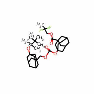 CC(F)(F)COC(=O)C12CC3CC(CC(OC(=O)OCC45CC6CC(C4)CC(O[Si](C)(C)C(C)(C)C)(C6)C5)(C3)C1)C2